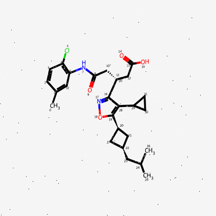 Cc1ccc(Cl)c(NC(=O)C[C@H](CC(=O)O)c2noc([C@H]3C[C@@H](CC(C)C)C3)c2C2CC2)c1